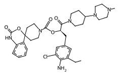 CCc1cc(C[C@@H](OC(=O)N2CCC3(CC2)OC(=O)Nc2ccccc23)C(=O)N2CCC(N3CCN(C)CC3)CC2)cc(Cl)c1N